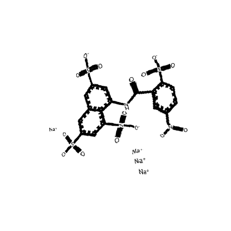 O=C(Nc1cc(S(=O)(=O)[O-])cc2cc(S(=O)(=O)[O-])cc(S(=O)(=O)[O-])c12)c1cc([N+](=O)[O-])ccc1S(=O)(=O)[O-].[Na+].[Na+].[Na+].[Na+]